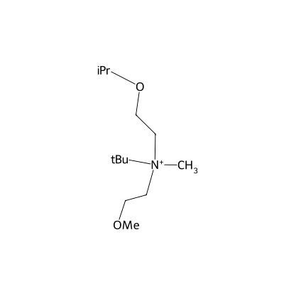 COCC[N+](C)(CCOC(C)C)C(C)(C)C